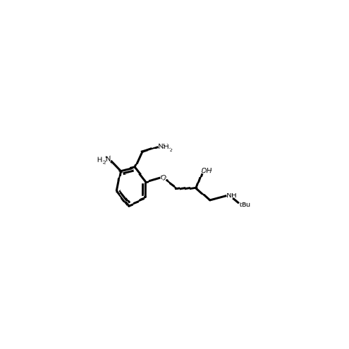 CC(C)(C)NCC(O)COc1cccc(N)c1CN